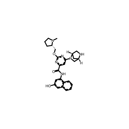 CN1CCC[C@H]1COc1nc(C(=O)Nc2cc(O)cc3ccccc23)cc(N2C[C@@H]3C[C@H]2CN3)n1